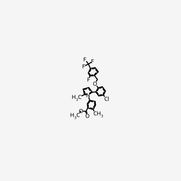 COC(=O)c1cc(-n2c(C)ccc2-c2cc(Cl)ccc2OCc2ccc(C(F)(F)F)cc2F)ccc1C